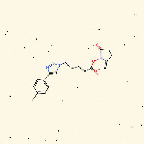 C=C1CCC(=O)N1OC(=O)CCCCn1cc(-c2ccc(C)cc2)nn1